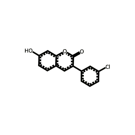 O=c1oc2cc(O)ccc2cc1-c1cccc(Cl)c1